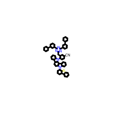 N#Cc1ccc(-n2c3ccccc3c3ccc4c(c5ccccc5n4-c4cccc5c4sc4ccccc45)c32)c(Cc2nc(-c3cccc(-c4ccccc4)c3)nc(-c3cccc(-c4ccccc4)c3)n2)c1